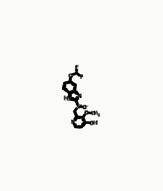 COc1c(O)ccnc1C[S+]([O-])c1nc2cc(OC(F)F)ccc2[nH]1